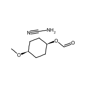 CO[C@H]1CC[C@@H](OC=O)CC1.N#CN